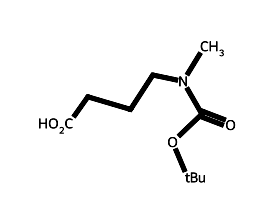 CN(CCCC(=O)O)C(=O)OC(C)(C)C